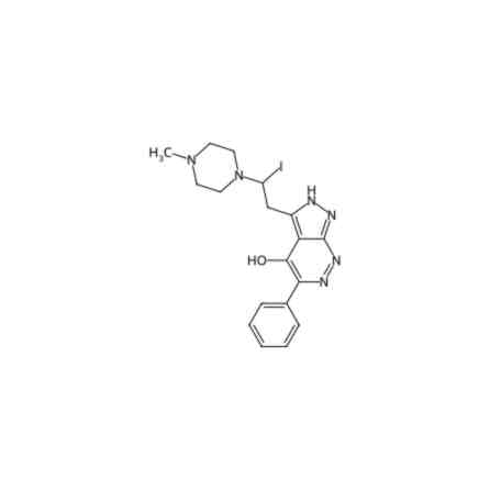 CN1CCN(C(I)Cc2[nH]nc3nnc(-c4ccccc4)c(O)c23)CC1